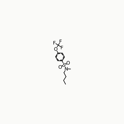 CCCCN(C)S(=O)(=O)c1ccc(OC(F)(F)F)cc1